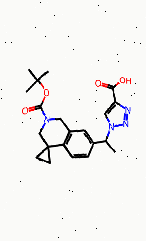 CC(c1ccc2c(c1)CN(C(=O)OC(C)(C)C)CC21CC1)n1cc(C(=O)O)nn1